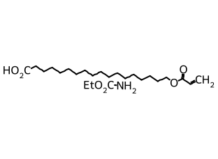 C=CC(=O)OCCCCCCCCCCCCCCCCCC(=O)O.CCOC(N)=O